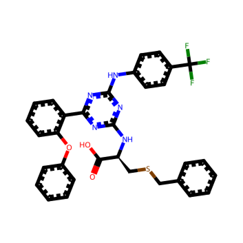 O=C(O)[C@H](CSCc1ccccc1)Nc1nc(Nc2ccc(C(F)(F)F)cc2)nc(-c2ccccc2Oc2ccccc2)n1